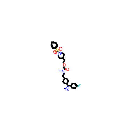 CN(C)C(c1ccc(F)cc1)C1CCC(CCNC(=O)COCCC2CCN(S(=O)(=O)c3ccccc3)CC2)CC1